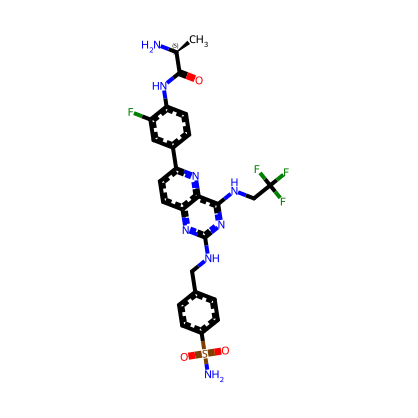 C[C@H](N)C(=O)Nc1ccc(-c2ccc3nc(NCc4ccc(S(N)(=O)=O)cc4)nc(NCC(F)(F)F)c3n2)cc1F